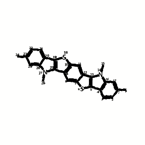 Cc1ccc2c3sc4cc5c(cc4c3n(C)c2c1)sc1c2ccc(C)cc2n(C)c51